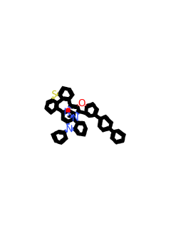 c1ccc(-c2ccc(-c3ccc4oc5c(-c6cccc7sc8cccc(-c9ccc%10c%11ccccc%11n(-c%11ccccc%11)c%10c9)c8c67)ncnc5c4c3)cc2)cc1